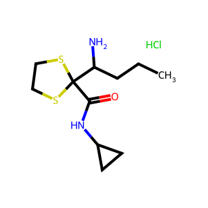 CCCC(N)C1(C(=O)NC2CC2)SCCS1.Cl